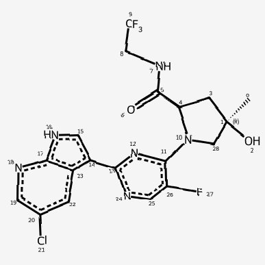 C[C@@]1(O)CC(C(=O)NCC(F)(F)F)N(c2nc(-c3c[nH]c4ncc(Cl)cc34)ncc2F)C1